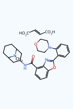 CN1C2CCCC1CC(NC(=O)c1cccc3oc(-c4ccccc4N4CCOCC4)nc13)C2.O=C(O)C=CC(=O)O